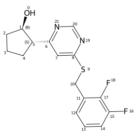 O[C@@H]1CCC[C@H]1c1cc(SCc2cccc(F)c2F)ncn1